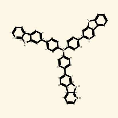 c1ccc2c(c1)sc1cc(-c3ccc(N(c4ccc(-c5ccc6c(c5)oc5ncccc56)cc4)c4ccc(-c5ccc6c(c5)oc5ncccc56)cc4)cc3)ncc12